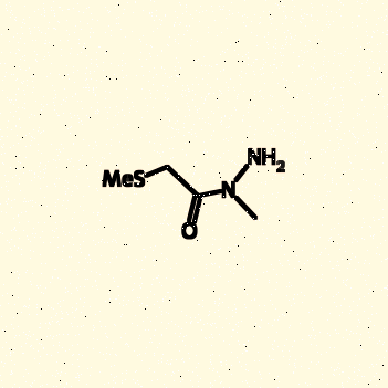 CSCC(=O)N(C)N